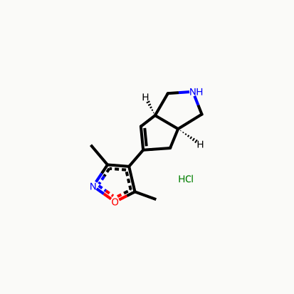 Cc1noc(C)c1C1=C[C@H]2CNC[C@H]2C1.Cl